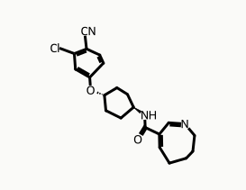 N#Cc1ccc(O[C@H]2CC[C@H](NC(=O)C3=C/CCCC/N=C\3)CC2)cc1Cl